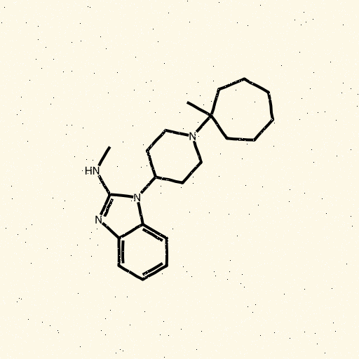 CNc1nc2ccccc2n1C1CCN(C2(C)CCCCCC2)CC1